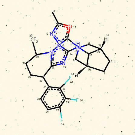 Cc1nnc(N2C[C@H]3CC[C@@H](C2)C3Nc2nc3n(n2)C(C(F)(F)F)CCC3c2ccc(F)c(F)c2F)o1